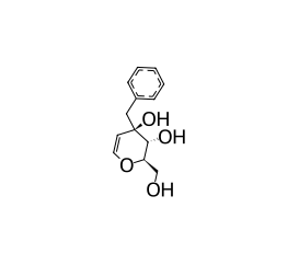 OC[C@H]1OC=C[C@](O)(Cc2ccccc2)[C@@H]1O